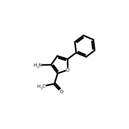 CC(=O)c1oc(-c2ccccc2)cc1N